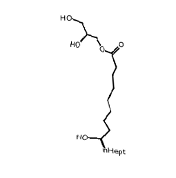 CCCCCCCC(O)CCCCCCCC(=O)OCC(O)CO